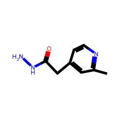 Cc1cc(CC(=O)NN)ccn1